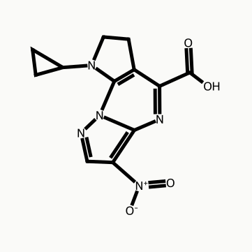 O=C(O)c1nc2c([N+](=O)[O-])cnn2c2c1CCN2C1CC1